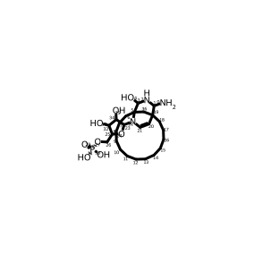 NC1NC(O)C23CCCCCCCCCCCCCC1(C=CN2C1OC(COP(=O)(O)O)C(O)C1O)C3